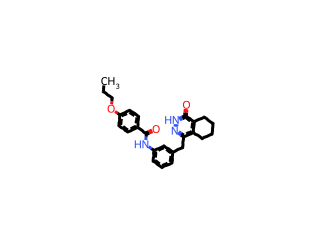 CCCOc1ccc(C(=O)Nc2cccc(Cc3n[nH]c(=O)c4c3CCCC4)c2)cc1